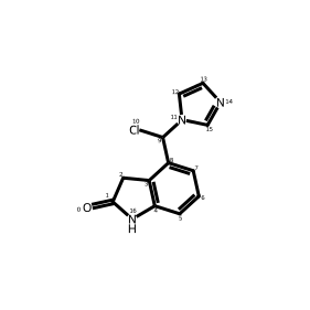 O=C1Cc2c(cccc2C(Cl)n2ccnc2)N1